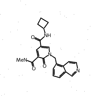 CNC(=O)c1cc(C(=O)NC2CCC2)cn(Cc2cccc3cnccc23)c1=O